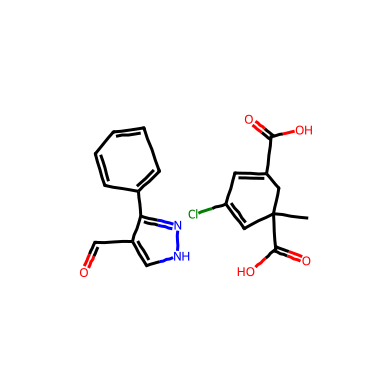 CC1(C(=O)O)C=C(Cl)C=C(C(=O)O)C1.O=Cc1c[nH]nc1-c1ccccc1